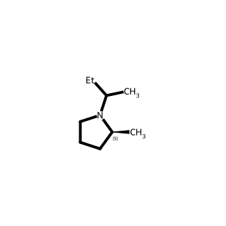 CCC(C)N1CCC[C@@H]1C